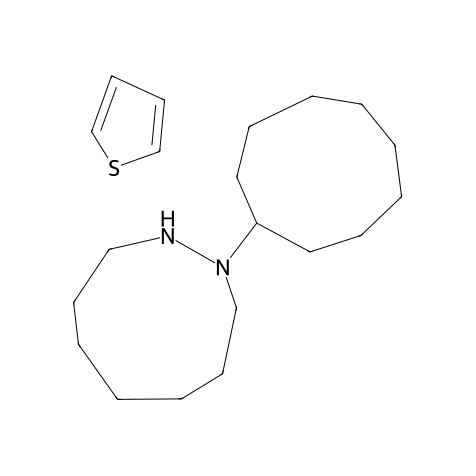 C1CCCCC(N2CCCCCCCN2)CCC1.c1ccsc1